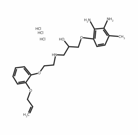 C=CCOc1ccccc1OCCNCC(O)COc1ccc(C)c(N)c1N.Cl.Cl.Cl